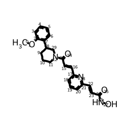 COc1ccccc1C1CCCN(C(=O)/C=C/c2cccc(/C=C/C(=O)NO)n2)C1